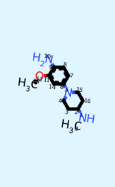 CNC1CCN(c2ccc(N)c(OC)c2)CC1